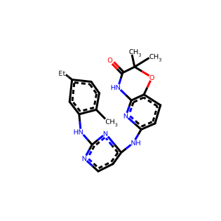 CCc1ccc(C)c(Nc2nccc(Nc3ccc4c(n3)NC(=O)C(C)(C)O4)n2)c1